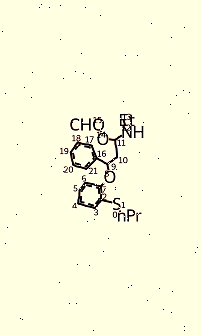 CCCSc1ccccc1OC(CC(NCC)OC=O)c1ccccc1